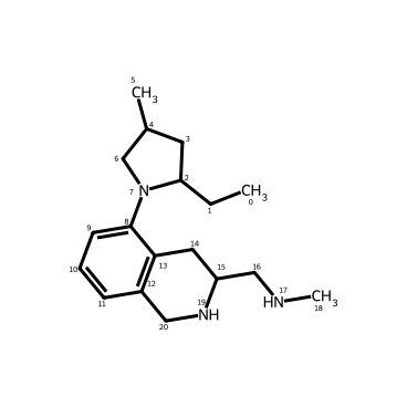 CCC1CC(C)CN1c1cccc2c1CC(CNC)NC2